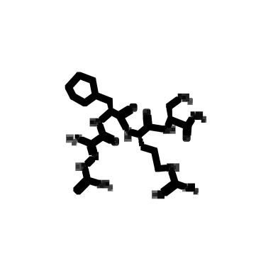 C=C(N)N/N=C(\N)C(=O)N[C@@H](CC1CCCCC1)C(=O)N[C@@H](CCCNC(=N)N)C(=O)N[C@@H](CP)C(N)=O